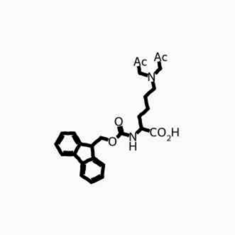 CC(=O)CN(CCCCC(NC(=O)OCC1c2ccccc2-c2ccccc21)C(=O)O)CC(C)=O